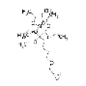 CCOC(CC)(CCCCOCC1CO1)C(OCC)(OCC)[Si](OCC)(OCC)OCC